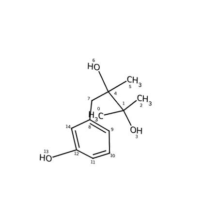 CC(C)(O)C(C)(O)Cc1cccc(O)c1